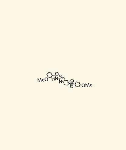 COc1ccc(S(=O)(=O)N2C=C3CN=C(NC(=O)c4cccc(OC)c4)N=C3CC2)cc1